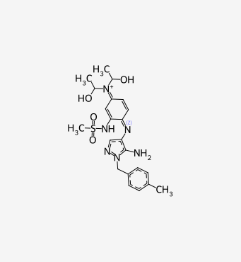 Cc1ccc(Cn2ncc(/N=C3/C=CC(=[N+](C(C)O)C(C)O)C=C3NS(C)(=O)=O)c2N)cc1